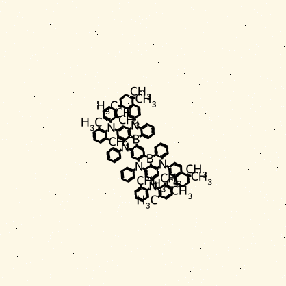 Cc1ccccc1N(c1cc2c3c(c1)N(c1ccccc1)c1cc4c(cc1B3c1ccccc1N2c1ccc2c(c1)C(C)(C)CCC2(C)C)B1c2ccccc2N(c2ccc3c(c2)C(C)(C)CCC3(C)C)c2cc(N(c3ccccc3C)c3c(C)cccc3C)cc(c21)N4c1ccccc1)c1c(C)cccc1C